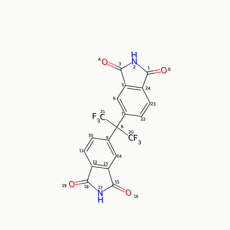 O=C1NC(=O)c2cc(C(c3ccc4c(c3)C(=O)NC4=O)(C(F)(F)F)C(F)(F)F)ccc21